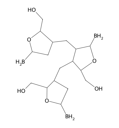 BC1CC(CC2C(B)OC(CO)C2CC2CC(B)OC2CO)C(CO)O1